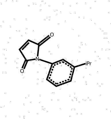 CC(C)c1cccc(N2C(=O)C=CC2=O)c1